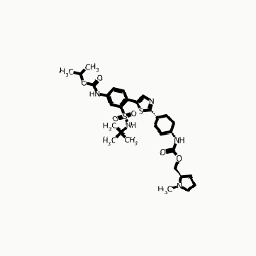 CC(C)OC(=O)Nc1ccc(-c2cnc([C@H]3CC[C@H](NC(=O)OC[C@H]4CCCN4C)CC3)s2)c(S(=O)(=O)NC(C)(C)C)c1